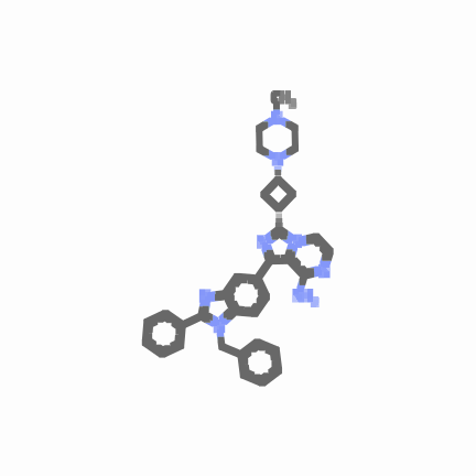 CN1CCN([C@H]2C[C@@H](c3nc(-c4ccc5c(c4)nc(-c4ccccc4)n5Cc4ccccc4)c4c(N)nccn43)C2)CC1